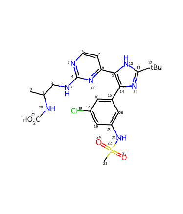 CC(CNc1nccc(-c2[nH]c(C(C)(C)C)nc2-c2cc(Cl)cc(NS(C)(=O)=O)c2)n1)NC(=O)O